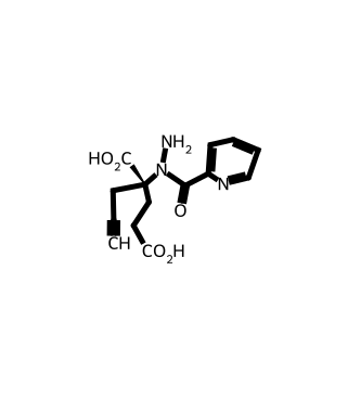 C#CC[C@](CCC(=O)O)(C(=O)O)N(N)C(=O)c1ccccn1